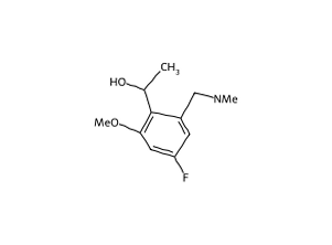 CNCc1cc(F)cc(OC)c1C(C)O